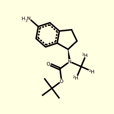 [2H]C([2H])([2H])N(C(=O)OC(C)(C)C)[C@@H]1CCc2cc(N)ccc21